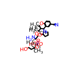 CC(C)(CCO)OP(=O)(O)OC(C)(N)COC(C)(C)C1C(N2CCCC2=O)c2cc(C#N)ccc2OC1(C)C